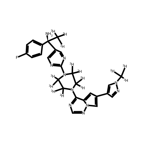 [2H]C([2H])([2H])n1cc(-c2cc3c(N4C([2H])([2H])C([2H])([2H])N(c5ncc([C@](N)(c6ccc(F)cc6)C([2H])([2H])[2H])cn5)C([2H])([2H])C4([2H])[2H])ncnn3c2)cn1